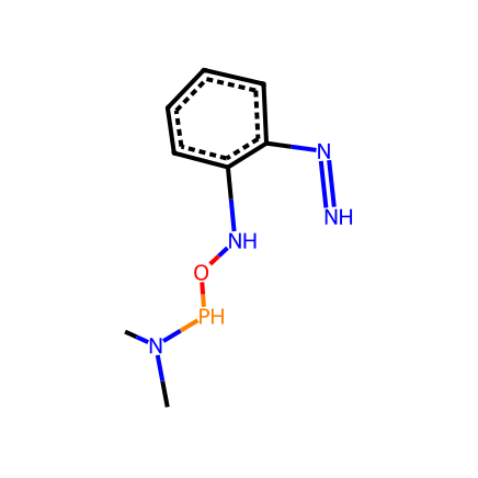 CN(C)PONc1ccccc1N=N